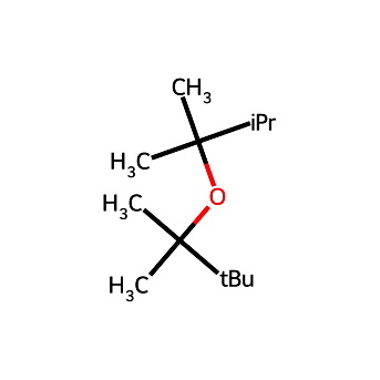 CC(C)C(C)(C)OC(C)(C)C(C)(C)C